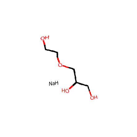 OCCOCC(O)CO.[NaH]